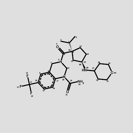 CC(C)[C@]1(C(=O)N2Cc3cc(C(F)(F)F)ccc3N(C(N)=O)C2)CC[C@@H](NC2CCOCC2)C1